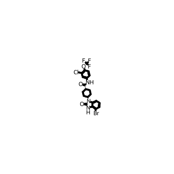 O=c1[nH]c2c(Br)cccc2n1[C@H]1CC[C@@H](C(=O)Nc2ccc(OC(F)(F)F)c(Cl)c2)CC1